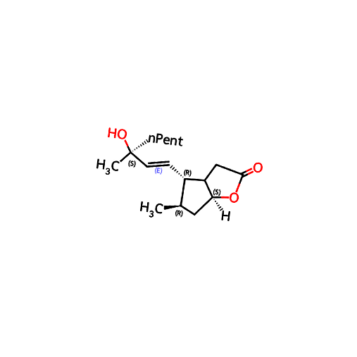 CCCCC[C@](C)(O)/C=C/[C@@H]1C2CC(=O)O[C@H]2C[C@H]1C